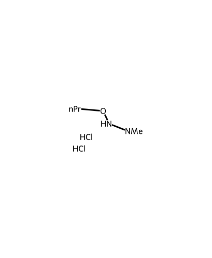 CCCONNC.Cl.Cl